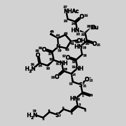 C=C(N/C(C)=C\CSCCN)[S+]([O-])C[C@H](NC(=O)CNC(=O)[C@H](NC(=O)CNC(C)=O)[C@@H](C)CC)C(=O)N[C@@H](CC(N)=O)C(=O)N1C[C@H](O)C[C@@H]1C